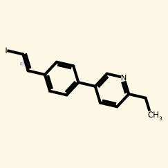 CCc1ccc(-c2ccc(/C=C/I)cc2)cn1